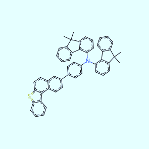 CC1(C)c2ccccc2-c2c(N(c3ccc(-c4ccc5c(ccc6sc7ccccc7c65)c4)cc3)c3cccc4c3-c3ccccc3C4(C)C)cccc21